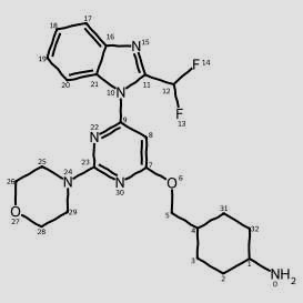 NC1CCC(COc2cc(-n3c(C(F)F)nc4ccccc43)nc(N3CCOCC3)n2)CC1